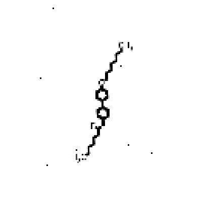 CCCCCCCCOc1ccc(-c2ccc(CC(F)CCCCCC)cc2)cc1